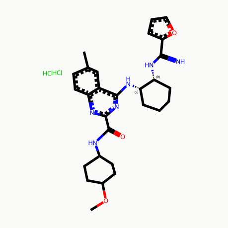 COC1CCC(NC(=O)c2nc(N[C@H]3CCCC[C@H]3NC(=N)c3ccco3)c3cc(C)ccc3n2)CC1.Cl.Cl